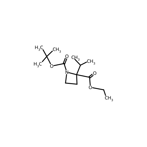 CCOC(=O)C1(C(C)C)CCN1C(=O)OC(C)(C)C